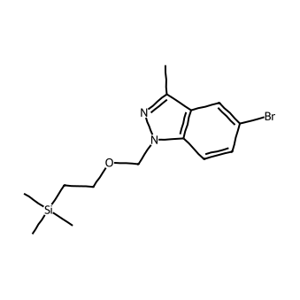 Cc1nn(COCC[Si](C)(C)C)c2ccc(Br)cc12